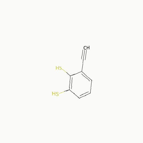 C#Cc1cccc(S)c1S